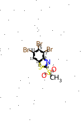 CS(=O)(=O)c1nc2c(Br)c(Br)c(Br)cc2s1